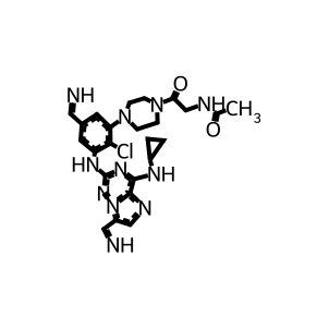 CC(=O)NCC(=O)N1CCN(c2cc(C=N)cc(Nc3nc(NC4CC4)c4ncc(C=N)n4n3)c2Cl)CC1